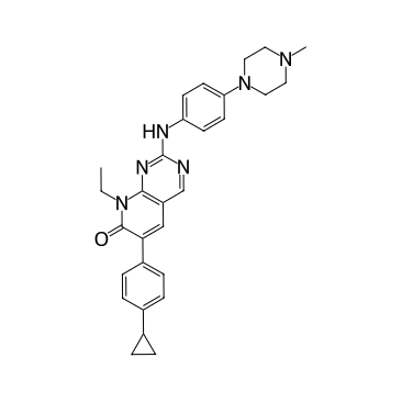 CCn1c(=O)c(-c2ccc(C3CC3)cc2)cc2cnc(Nc3ccc(N4CCN(C)CC4)cc3)nc21